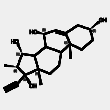 C#C[C@]1(O)[C@H](C)[C@H](O)C2C3C(CC[C@@]21C)[C@@]1(C)CC[C@@H](O)CC1=C[C@H]3O